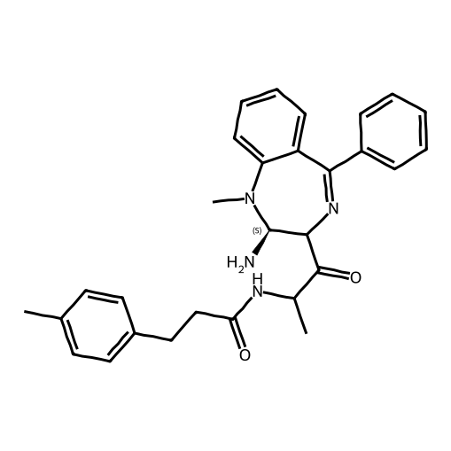 Cc1ccc(CCC(=O)NC(C)C(=O)C2N=C(c3ccccc3)c3ccccc3N(C)[C@@H]2N)cc1